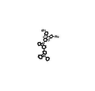 CC(C)(C)c1ccc2c(c1)Oc1cc(-n3c4ccccc4c4cc(-c5ccc6c(c5)c5ccccc5n6-c5ccccc5)ccc43)cc3c1B2c1ccc(C(C)(C)C)cc1O3